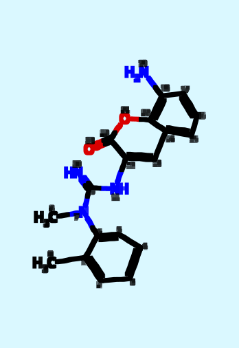 Cc1ccccc1N(C)C(=N)Nc1cc2cccc(N)c2oc1=O